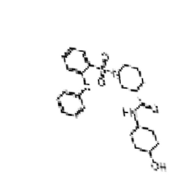 O=C(NC1CCC(O)CC1)[C@H]1CCCN(S(=O)(=O)c2ccccc2Oc2ccccc2)C1